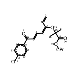 C=C/C(=C\C=C\C(=O)c1ccc(Cl)cc1)OC(C)(C)C(=O)OC(C)C